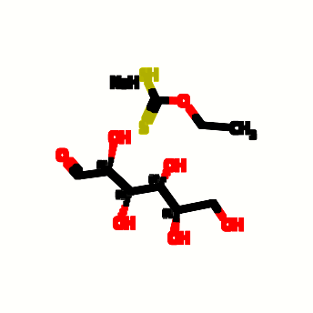 CCOC(=S)S.O=C[C@H](O)[C@@H](O)[C@H](O)[C@H](O)CO.[NaH]